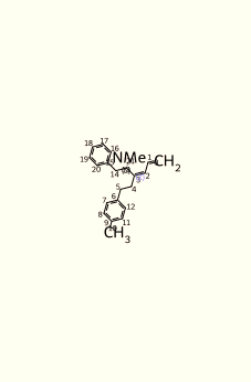 C=C/C=C(/CCc1ccc(C)cc1)[C@H](Cc1ccccc1)NC